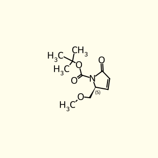 COC[C@@H]1C=CC(=O)N1C(=O)OC(C)(C)C